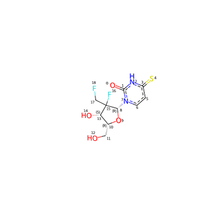 O=c1[nH]c(=S)ccn1[C@@H]1O[C@H](CO)[C@H](O)C1(F)CF